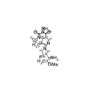 COC(C)C(N)C1CN(c2ncc3c(=O)n(N)c(=O)n(C4CC4)c3c2C)CC1F